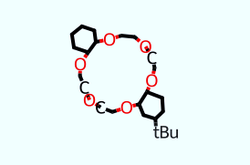 CC(C)(C)C1CCC2OCCOCCOC3CCCCC3OCCOCCOC2C1